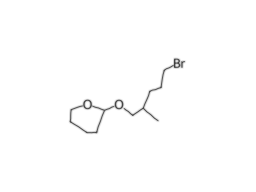 CC(CCCBr)COC1CCCCO1